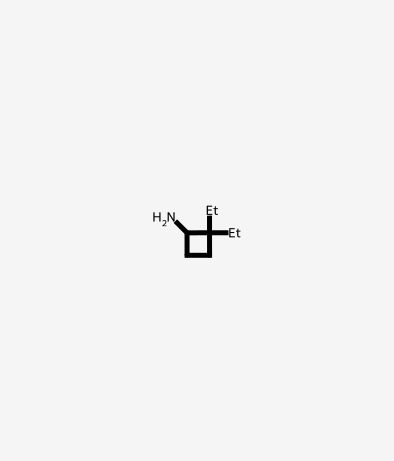 CCC1(CC)CCC1N